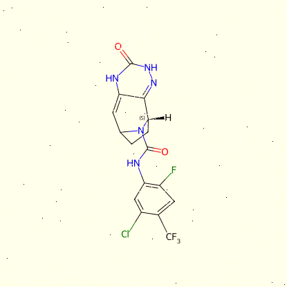 O=C1NN=C2C(=CC3CC[C@@H]2N3C(=O)Nc2cc(Cl)c(C(F)(F)F)cc2F)N1